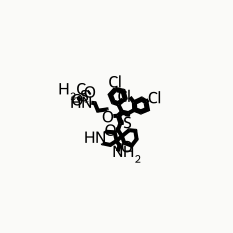 CS(=O)(=O)NCCCOc1c(C(=O)C2(C3(C(N)=O)CCNCC3)CCCCC2)sc(-c2ccc(Cl)cc2Cl)c1-c1ccc(Cl)cc1